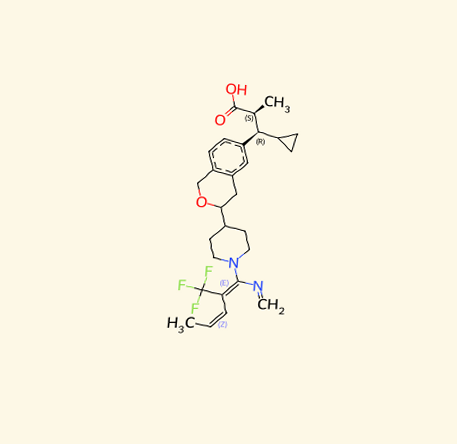 C=N/C(=C(\C=C/C)C(F)(F)F)N1CCC(C2Cc3cc([C@H](C4CC4)[C@H](C)C(=O)O)ccc3CO2)CC1